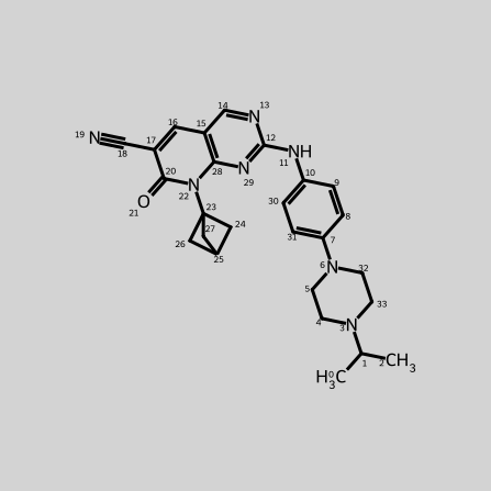 CC(C)N1CCN(c2ccc(Nc3ncc4cc(C#N)c(=O)n(C56CC(C5)C6)c4n3)cc2)CC1